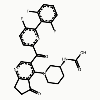 O=C(O)N[C@H]1CCCN(c2c(C(=O)c3ccc(F)c(-c4c(F)cccc4F)n3)cnc3c2C(=O)CC3)C1